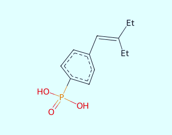 CCC(=Cc1ccc(P(=O)(O)O)cc1)CC